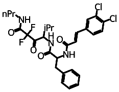 CCCNC(=O)C(F)(F)C(=O)C(NC(=O)C(Cc1ccccc1)NC(=O)/C=C/c1ccc(Cl)c(Cl)c1)C(C)C